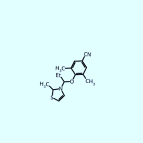 CCC(Oc1c(C)cc(C#N)cc1C)N1C=CSC1C